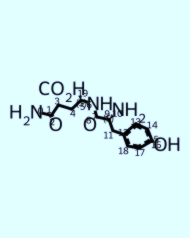 NC(=O)CC[C@H](NC(=O)[C@@H](N)Cc1ccc(O)cc1)C(=O)O